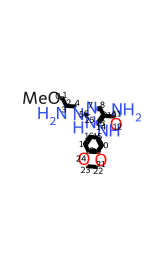 COC[C@H](N)CNc1ncc(C(N)=O)c(Nc2ccc3c(c2)OCCO3)n1